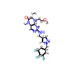 CC[C@H]1C(=O)N(C)c2cnc(NCc3cnn(Cc4cc(F)c(F)c(F)c4)c3)nc2N1CCOC